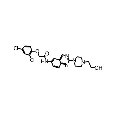 O=C(COc1ccc(Cl)cc1Cl)Nc1ccc2nc(N3CCN(CCO)CC3)ncc2c1